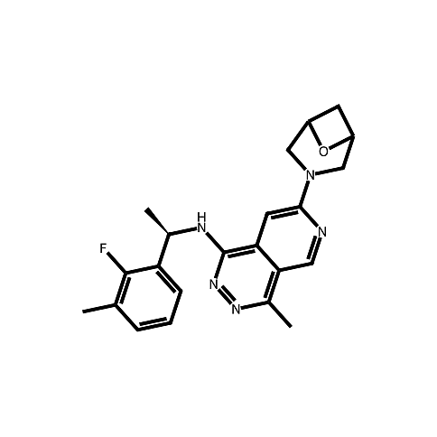 Cc1cccc([C@@H](C)Nc2nnc(C)c3cnc(N4CC5CC(C4)O5)cc23)c1F